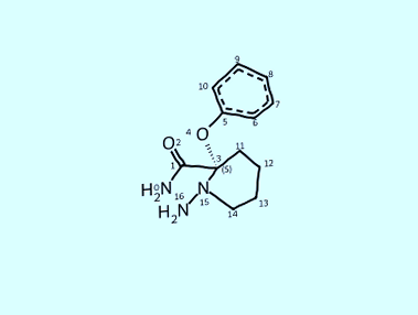 NC(=O)[C@@]1(Oc2ccccc2)CCCCN1N